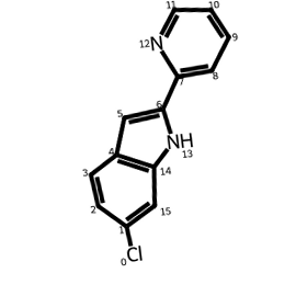 Clc1ccc2cc(-c3ccccn3)[nH]c2c1